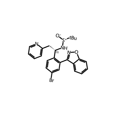 CC(C)(C)[S+]([O-])N[C@@H](Cc1ccccn1)c1ccc(Br)cc1-c1noc2ccccc12